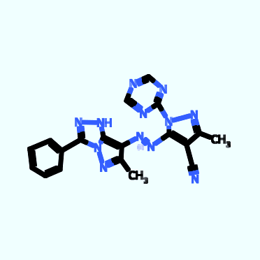 Cc1nn(-c2ncncn2)c(/N=N/c2c(C)nn3c(-c4ccccc4)n[nH]c23)c1C#N